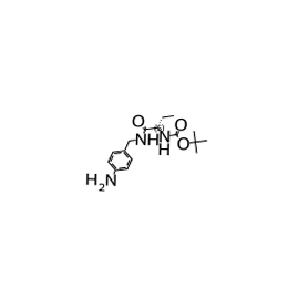 CC[C@H](NC(=O)OC(C)(C)C)C(=O)NCc1ccc(N)cc1